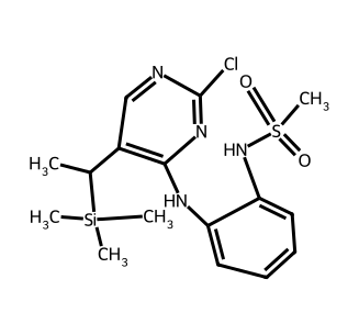 CC(c1cnc(Cl)nc1Nc1ccccc1NS(C)(=O)=O)[Si](C)(C)C